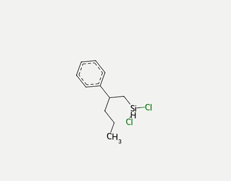 CCCC(C[SiH](Cl)Cl)c1ccccc1